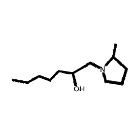 CCCCCC(O)CN1CCCC1C